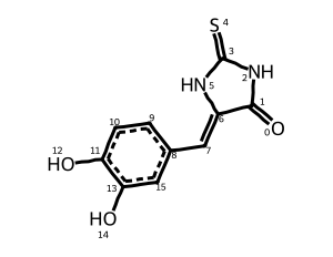 O=C1NC(=S)N/C1=C\c1ccc(O)c(O)c1